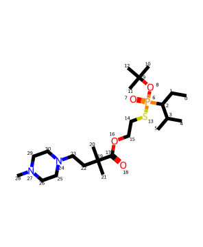 CCC(C(C)C)P(=O)(OC(C)(C)C)SCCOC(=O)C(C)(C)CCN1CCN(C)CC1